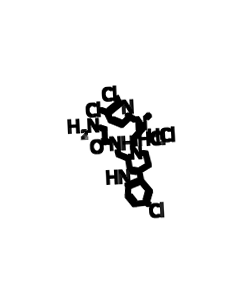 CN(CCN1CCc2c([nH]c3ccc(Cl)cc23)C1CNC(=O)CN)c1ccc(Cl)c(Cl)n1.Cl.Cl